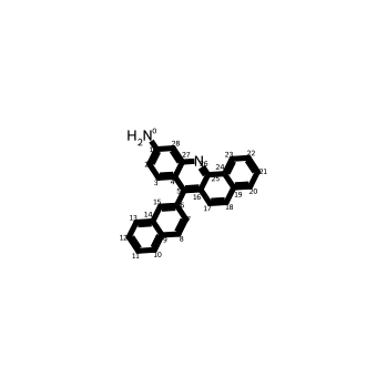 Nc1ccc2c(-c3ccc4ccccc4c3)c3ccc4ccccc4c3nc2c1